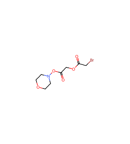 O=C(CBr)OCC(=O)ON1CCOCC1